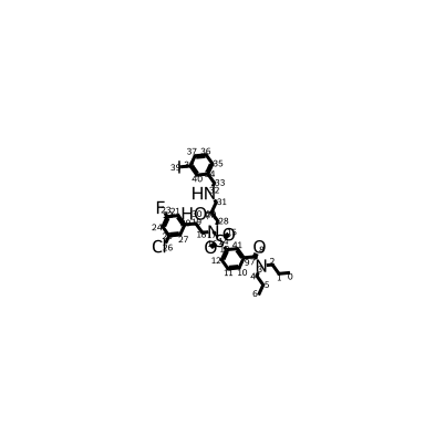 CCCN(CCC)C(=O)c1cccc(S(=O)(=O)N(CCc2cc(F)cc(Cl)c2)C[C@H](O)CNCc2cccc(I)c2)c1